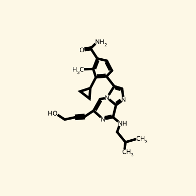 Cc1c(C(N)=O)ccc(-c2cnc3c(NCC(C)C)nc(C#CCO)cn23)c1C1CC1